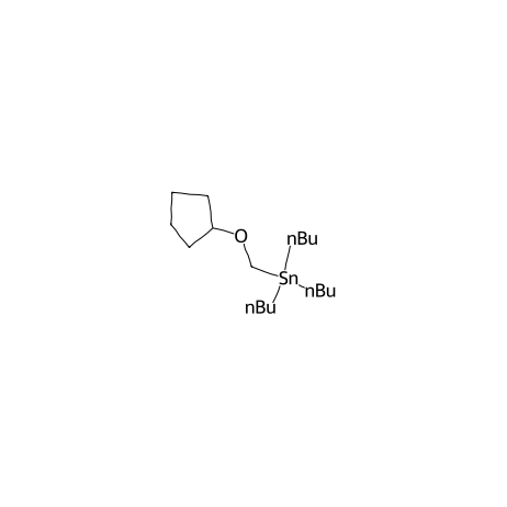 CCC[CH2][Sn]([CH2]CCC)([CH2]CCC)[CH2]OC1CCCC1